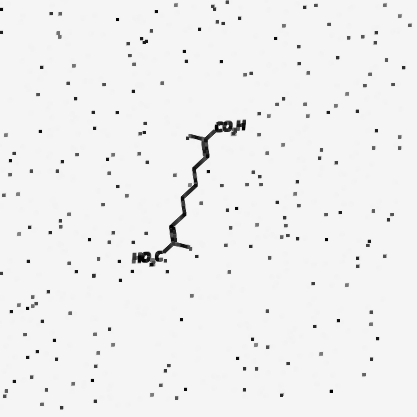 CC(=CCCCCC=C(C)C(=O)O)C(=O)O